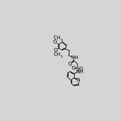 COc1ccc(CCNC(=O)CS(=O)(=O)Nc2cccc3cccnc23)cc1OC